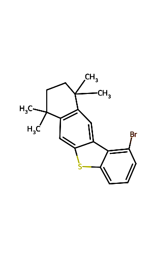 CC1(C)CCC(C)(C)c2cc3c(cc21)sc1cccc(Br)c13